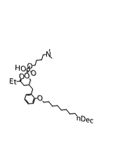 CCCCCCCCCCCCCCCCCCOc1ccccc1CC(COP(=O)(O)OCCCCN(C)C)CC(=O)CC